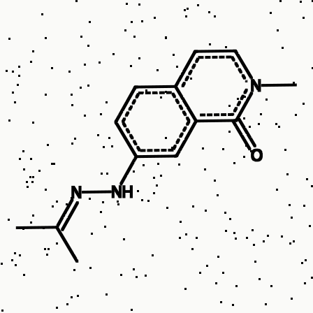 CC(C)=NNc1ccc2ccn(C)c(=O)c2c1